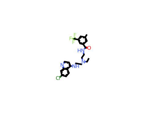 CCN(CCNC(=O)c1cc(C)cc(C(F)(F)F)c1)CCNc1ccnc2cc(Cl)ccc12